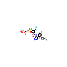 COc1cc(F)ccc1-c1ccncc1N(C)C(=O)c1cc(C(F)(F)F)cc(S(=O)(=O)CCCC(=O)O)c1